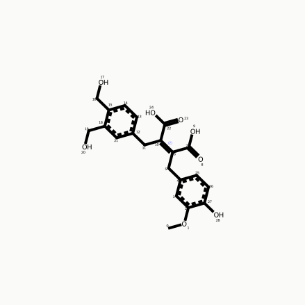 COc1cc(C/C(C(=O)O)=C(\Cc2ccc(CO)c(CO)c2)C(=O)O)ccc1O